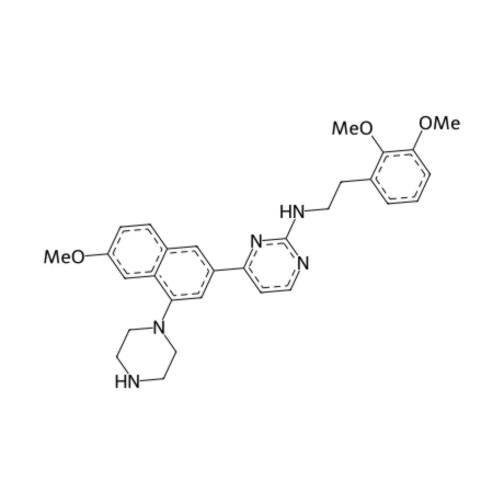 COc1ccc2cc(-c3ccnc(NCCc4cccc(OC)c4OC)n3)cc(N3CCNCC3)c2c1